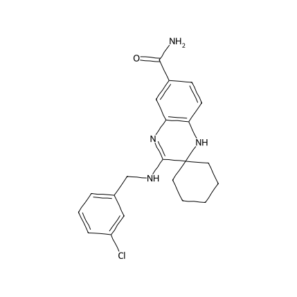 NC(=O)c1ccc2c(c1)N=C(NCc1cccc(Cl)c1)C1(CCCCC1)N2